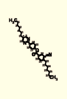 CCCCCCCc1cnc(-c2ccc(OC(=O)c3ccc(CCCCCCC)c(C#N)c3)cc2)nc1